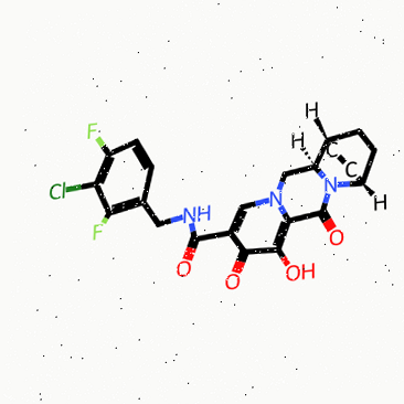 O=C(NCc1ccc(F)c(Cl)c1F)c1cn2c(c(O)c1=O)C(=O)N1[C@H]3CC[C@H](CC3)[C@@H]1C2